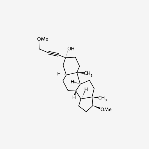 COCC#C[C@@]1(O)CC[C@@]2(C)[C@@H](CC[C@@H]3[C@@H]2CC[C@]2(C)[C@@H](OC)CC[C@@H]32)C1